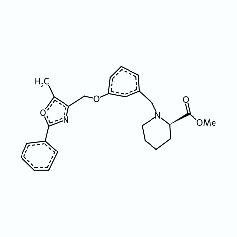 COC(=O)[C@H]1CCCCN1Cc1cccc(OCc2nc(-c3ccccc3)oc2C)c1